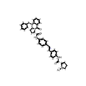 CC(=O)N1CCC[C@H]1C(=O)Nc1ccc(/C=C/c2ccc(NC(=O)[C@@H]3CCCN3C(=O)c3ccccc3NCc3ccccc3)cc2)cc1